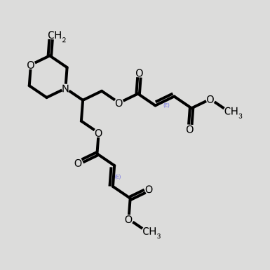 C=C1CN(C(COC(=O)/C=C/C(=O)OC)COC(=O)/C=C/C(=O)OC)CCO1